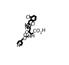 O=C(O)CC(NC(=O)OCc1ccncc1)C(=O)Cn1nnc(Cc2c(Cl)cccc2Cl)n1